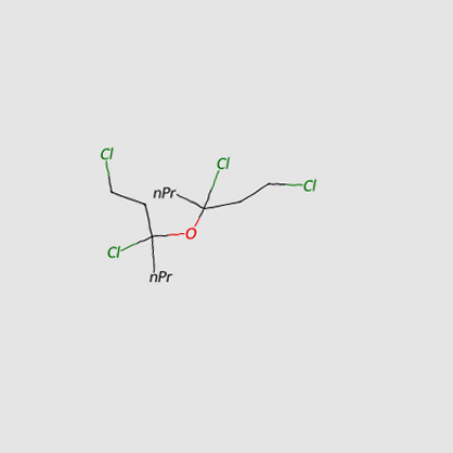 CCCC(Cl)(CCCl)OC(Cl)(CCC)CCCl